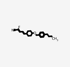 CCCCc1ccc(COC2CCC(C=CC=C(F)C#N)CC2)cc1